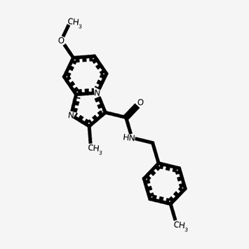 COc1ccn2c(C(=O)NCc3ccc(C)cc3)c(C)nc2c1